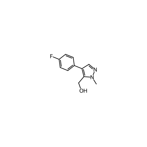 Cn1ncc(-c2ccc(F)cc2)c1CO